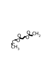 C=CC(=O)OCCC(=O)OC=C=CC